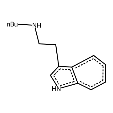 CCCCNCCc1c[nH]c2ccccc12